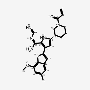 C=CC(=O)N1CCC[C@H](c2cc(-c3cc4cc(C)cc(OC)c4s3)c(/C(N)=N\C=N)[nH]2)C1